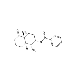 C[C@H]1[C@@H](OC(=O)c2ccccc2)CC[C@@]2(C)C(=O)CCC[C@H]12